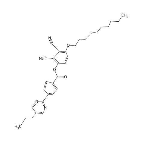 CCCCCCCCCCOc1ccc(OC(=O)c2ccc(-c3ncc(CCC)cn3)cc2)c(C#N)c1C#N